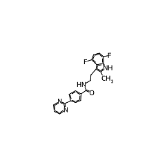 Cc1[nH]c2c(F)ccc(F)c2c1CCNC(=O)c1ccc(-c2ncccn2)cc1